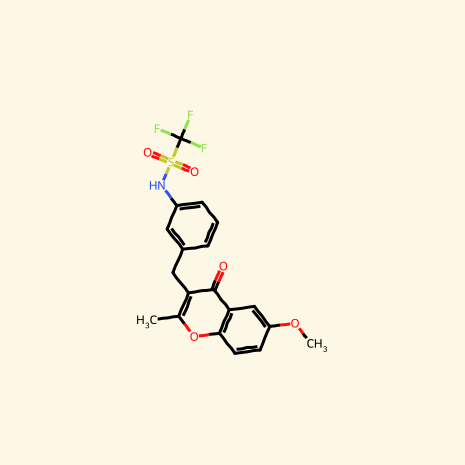 COc1ccc2oc(C)c(Cc3cccc(NS(=O)(=O)C(F)(F)F)c3)c(=O)c2c1